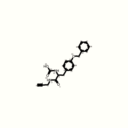 C#CCNC(=O)C(Cc1ccc(OCc2ccccc2)cc1)NC(=O)O